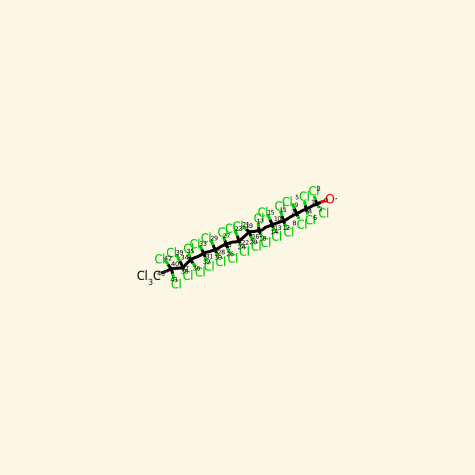 [O]C(Cl)(Cl)C(Cl)(Cl)C(Cl)(Cl)C(Cl)(Cl)C(Cl)(Cl)C(Cl)(Cl)C(Cl)(Cl)C(Cl)(Cl)C(Cl)(Cl)C(Cl)(Cl)C(Cl)(Cl)C(Cl)(Cl)C(Cl)(Cl)C(Cl)(Cl)C(Cl)(Cl)Cl